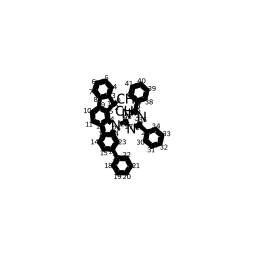 CC1(C)c2ccccc2-c2ccc3c4ccc(-c5ccccc5)cc4n(-c4nc(-c5ccccc5)nc(-c5ccccc5)n4)c3c21